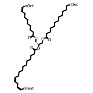 CCCCC/C=C\C/C=C\CCCCCCCCCC(=O)O[C@H](COC(=O)CCCCCCC/C=C\CCCCCCCC)COC(=O)CCCCCCCCCCCCCCCCCCCCC